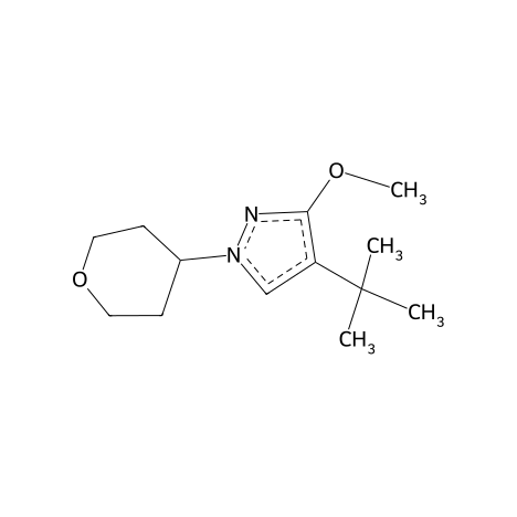 COc1nn(C2CCOCC2)cc1C(C)(C)C